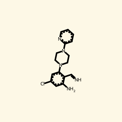 N=Cc1c(N)cc(Cl)cc1N1CCN(c2ccccn2)CC1